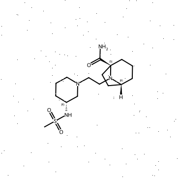 CS(=O)(=O)N[C@@H]1CCCN(CCN2[C@@H]3C[CH]C[C@@]2(C(N)=O)CC3)C1